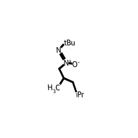 CC(C)CC(C)C/[N+]([O-])=N/C(C)(C)C